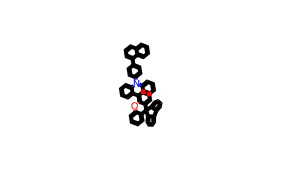 c1ccc(N(c2ccc(-c3cccc4ccccc34)cc2)c2ccccc2-c2cccc3c2Oc2ccccc2C32c3ccccc3-c3ccccc32)cc1